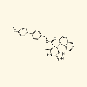 COc1ccc(-c2ccc(COC(=O)C3=C(C)Nc4nnnn4C3c3cccc4ccccc34)cc2)cc1